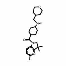 Cc1ccc2c(n1)C(C)(C)CN2C(=O)C1CCC(N(C)CC2CCOCC2)CC1